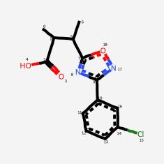 CC(C(=O)O)C(C)c1nc(-c2cccc(Cl)c2)no1